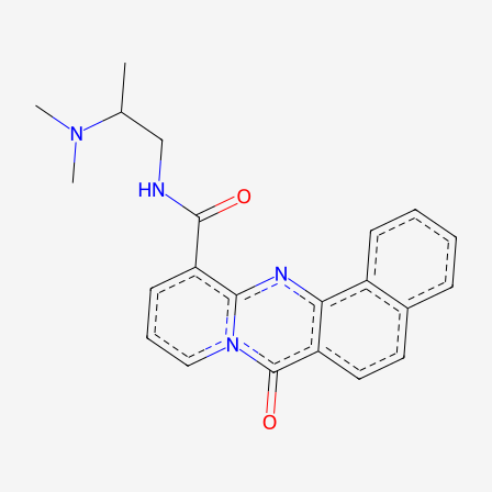 CC(CNC(=O)c1cccn2c(=O)c3ccc4ccccc4c3nc12)N(C)C